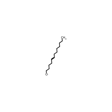 CCCCCCCC=CCCCC[O]